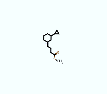 CSC(=S)CC/C=C1/CCCC(C2CC2)C1